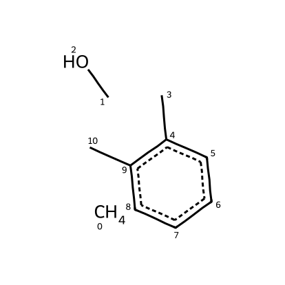 C.CO.Cc1ccccc1C